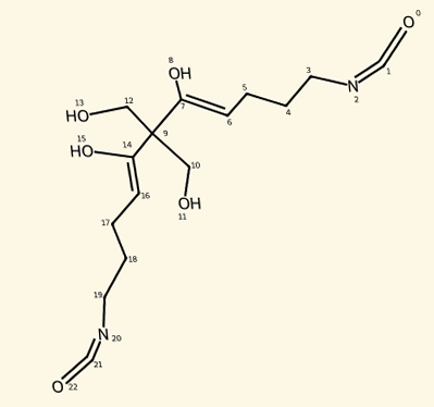 O=C=NCCCC=C(O)C(CO)(CO)C(O)=CCCCN=C=O